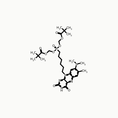 Cc1cc2nc3c(=O)[nH]c(=O)nc-3n(CCCCCCP(=O)(OCOC(=O)C(C)(C)C)OCOC(=O)C(C)(C)C)c2cc1N(C)C